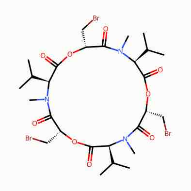 CC(C)[C@H]1C(=O)O[C@H](CBr)C(=O)N(C)[C@@H](C(C)C)C(=O)O[C@H](CBr)C(=O)N(C)[C@@H](C(C)C)C(=O)O[C@H](CBr)C(=O)N1C